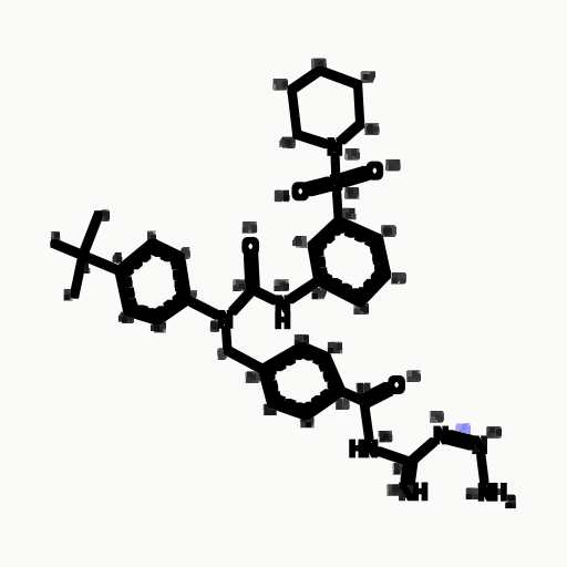 CC(C)(C)c1ccc(N(Cc2ccc(C(=O)NC(=N)/N=N\N)cc2)C(=O)Nc2cccc(S(=O)(=O)N3CCCCC3)c2)cc1